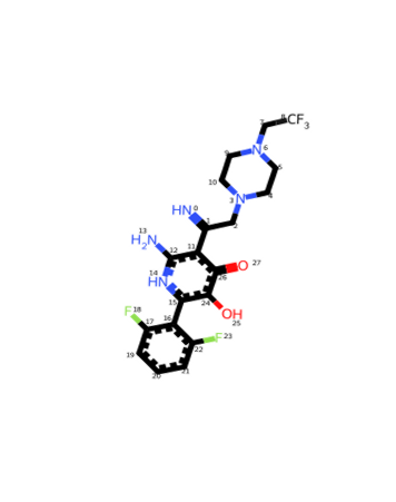 N=C(CN1CCN(CC(F)(F)F)CC1)c1c(N)[nH]c(-c2c(F)cccc2F)c(O)c1=O